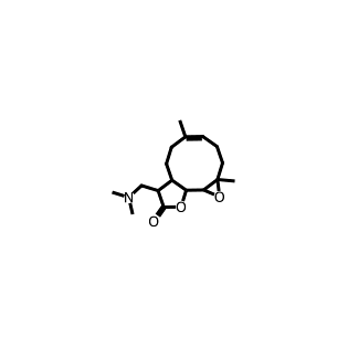 CC1=CCCC2(C)OC2C2OC(=O)C(CN(C)C)C2CC1